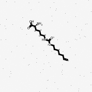 C=CCCCCCOC(=O)NCCCC[C@H](N)C(=O)O